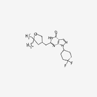 CC1(C)CC(Cc2nc3c(cnn3C3CCC(F)(F)CC3)c(=O)[nH]2)CO1